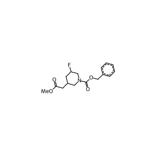 COC(=O)CC1CC(F)CN(C(=O)OCc2ccccc2)C1